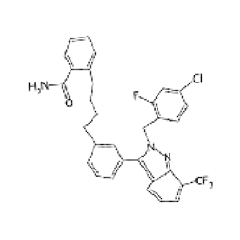 NC(=O)c1ccccc1CCCCc1cccc(-c2c3cccc(C(F)(F)F)c3nn2Cc2ccc(Cl)cc2F)c1